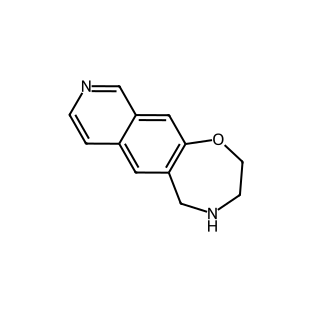 c1cc2cc3c(cc2cn1)OCCNC3